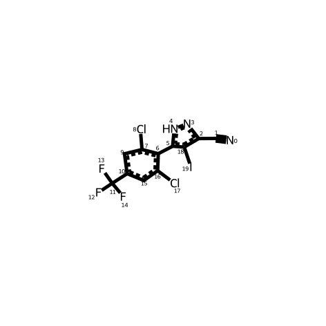 N#Cc1n[nH]c(-c2c(Cl)cc(C(F)(F)F)cc2Cl)c1I